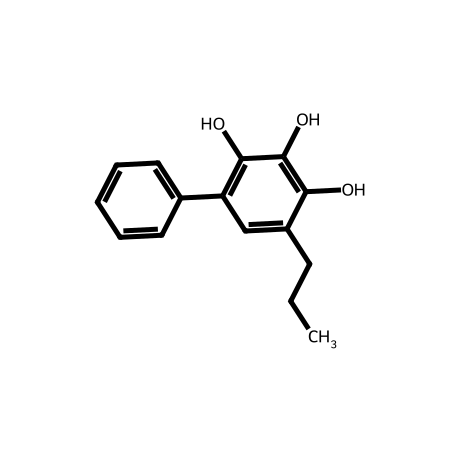 CCCc1cc(-c2ccccc2)c(O)c(O)c1O